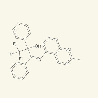 Cc1ccc2c(N=C(c3ccccc3)C(O)(c3ccccc3)C(F)(F)F)cccc2n1